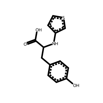 O=C(O)C(Cc1ccc(O)cc1)Nc1ccsc1